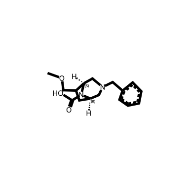 COCC1C[C@@H]2CN(Cc3ccccc3)C[C@H]1N2C(=O)O